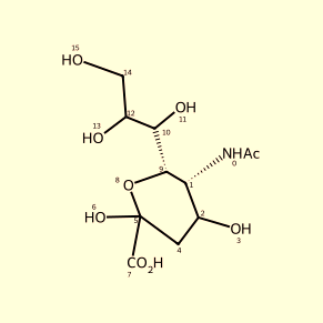 CC(=O)N[C@@H]1C(O)CC(O)(C(=O)O)O[C@@H]1C(O)C(O)CO